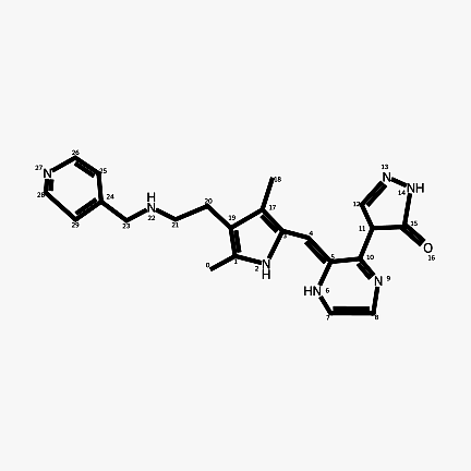 Cc1[nH]c(C=C2NC=CN=C2C2C=NNC2=O)c(C)c1CCNCc1ccncc1